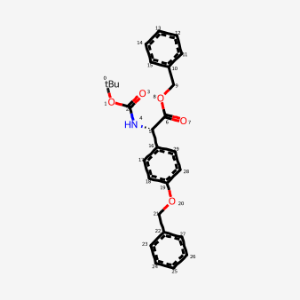 CC(C)(C)OC(=O)N[C@H](C(=O)OCc1ccccc1)c1ccc(OCc2ccccc2)cc1